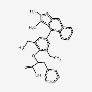 CCc1cc(-c2c3ccccc3cc3sc(C)c(C)c23)cc(CC)c1OC(Cc1ccccc1)C(=O)O